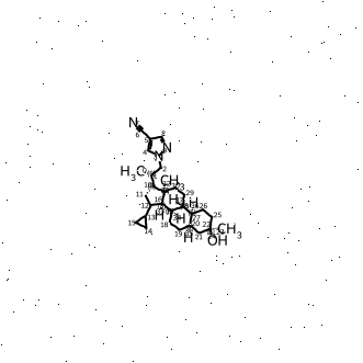 C[C@H](Cn1cc(C#N)cn1)[C@H]1CC(C2CC2)[C@H]2[C@@H]3CC[C@@H]4C[C@](C)(O)CC[C@@H]4[C@H]3CC[C@]12C